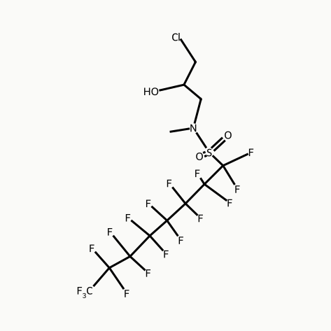 CN(CC(O)CCl)S(=O)(=O)C(F)(F)C(F)(F)C(F)(F)C(F)(F)C(F)(F)C(F)(F)C(F)(F)C(F)(F)F